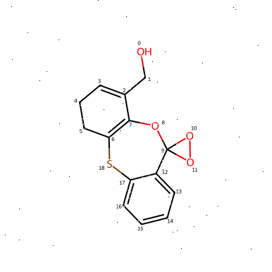 OCC1=CCCC2=C1OC1(OO1)c1ccccc1S2